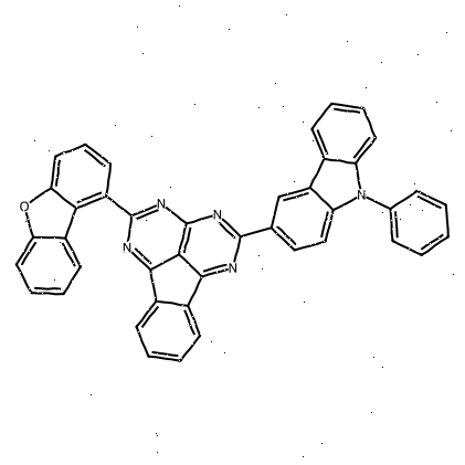 c1ccc(-n2c3ccccc3c3cc(-c4nc5c6c(nc(-c7cccc8oc9ccccc9c78)nc6n4)-c4ccccc4-5)ccc32)cc1